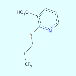 O=C(O)c1cccnc1SCCC(F)(F)F